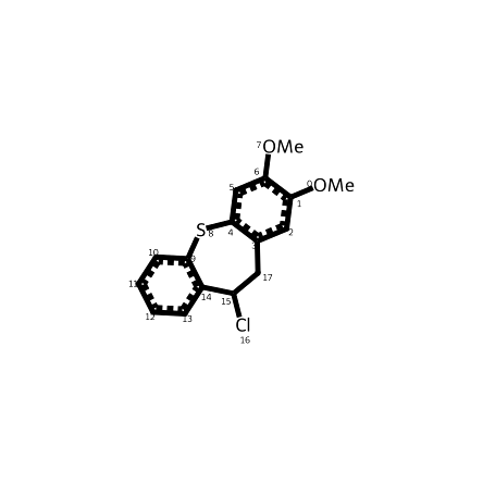 COc1cc2c(cc1OC)Sc1ccccc1C(Cl)C2